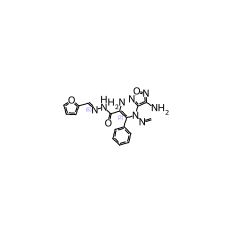 C=NN(/C(=C(\N)C(=O)N/N=C/c1ccco1)c1ccccc1)c1nonc1N